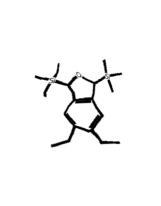 CCc1cc2c(cc1CC)C([Si](C)(C)C)OC2[Si](C)(C)C